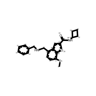 COc1ccc(CNCc2ccccc2)c2cc(C(=O)NC3CCC3)oc12